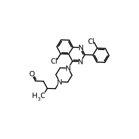 CC(CC=O)CN1CCN(c2nc(-c3ccccc3Cl)nc3cccc(Cl)c23)CC1